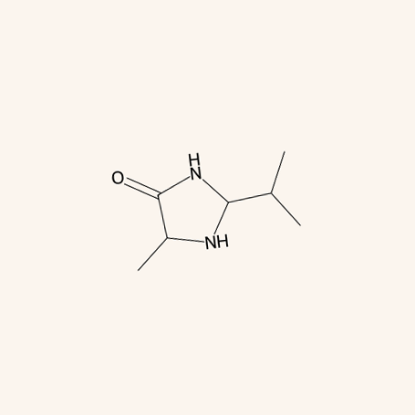 CC1NC(C(C)C)NC1=O